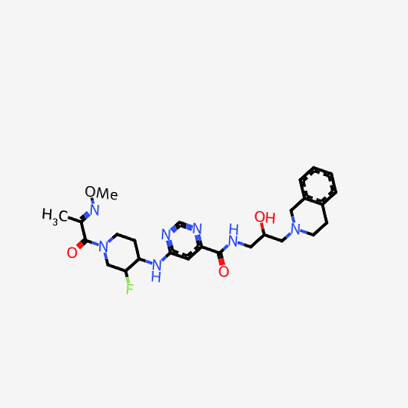 CON=C(C)C(=O)N1CCC(Nc2cc(C(=O)NCC(O)CN3CCc4ccccc4C3)ncn2)C(F)C1